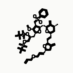 C=CCOCC=C[C@H]1CC(=C)[C@H](CC[C@H]2C[C@@H](C)C(=C)[C@@H](C[C@@H]3O[C@H](C[C@@H](CO[Si](C)(C)C(C)(C)C)O[Si](C)(C)C(C)(C)C)[C@H](OC)[C@H]3CS(=O)(=O)c3ccccc3)O2)O1